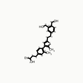 CCC(O)CCc1ccc(-c2cc(CCc3ccc(CO)c(CO)c3)sc2C)c(C)c1